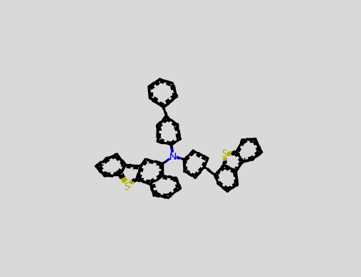 c1ccc(-c2ccc(N(c3ccc(-c4cccc5c4sc4ccccc45)cc3)c3cc4c5ccccc5sc4c4ccccc34)cc2)cc1